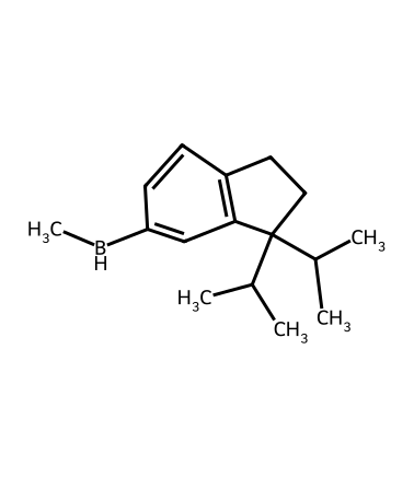 CBc1ccc2c(c1)C(C(C)C)(C(C)C)CC2